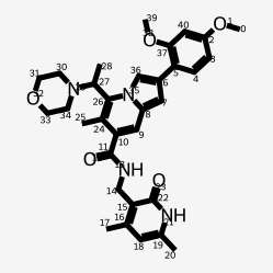 COc1ccc(-c2cc3cc(C(=O)NCc4c(C)cc(C)[nH]c4=O)c(C)c(C(C)N4CCOCC4)n3c2)c(OC)c1